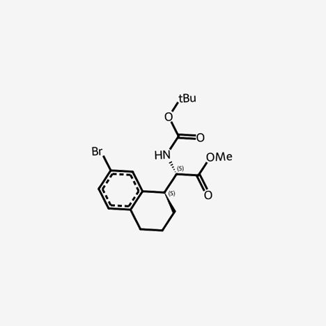 COC(=O)[C@@H](NC(=O)OC(C)(C)C)[C@H]1CCCc2ccc(Br)cc21